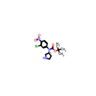 CC(C)(C)OC(=O)N(c1ccc([N+](=O)[O-])c(Br)c1)[C@H]1CCNC1